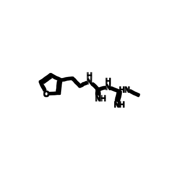 CNC(=N)NC(=N)NCCc1ccoc1